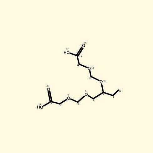 CCC(COCOCC(=O)O)OCOCC(=O)O